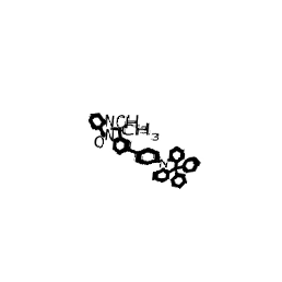 CC1(C)c2cc(-c3ccc(N4c5ccccc5C(c5ccccc5)(c5ccccc5)c5ccccc54)cc3)ccc2-n2c1nc1ccccc1c2=O